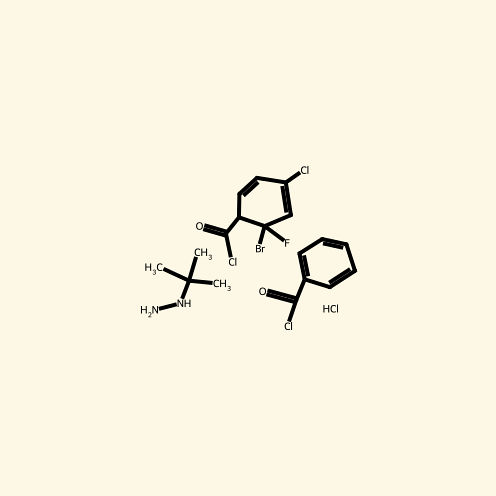 CC(C)(C)NN.Cl.O=C(Cl)C1C=CC(Cl)=CC1(F)Br.O=C(Cl)c1ccccc1